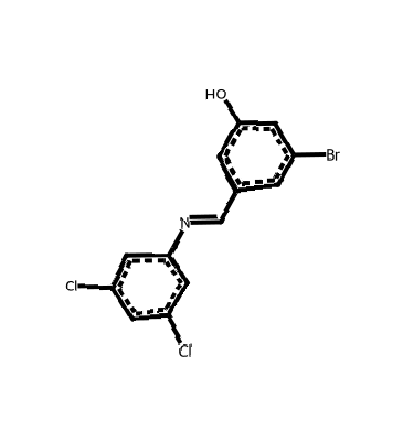 Oc1cc(Br)cc(C=Nc2cc(Cl)cc(Cl)c2)c1